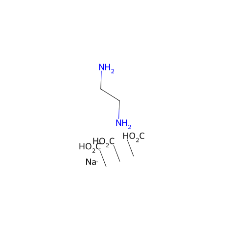 CC(=O)O.CC(=O)O.CC(=O)O.NCCN.[Na]